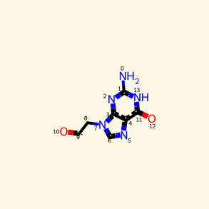 Nc1nc2c(ncn2C[C]=O)c(=O)[nH]1